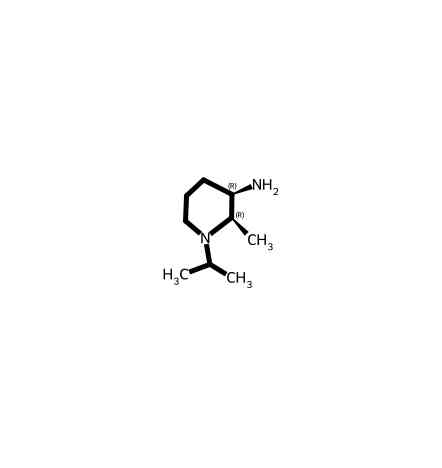 CC(C)N1CCC[C@@H](N)[C@H]1C